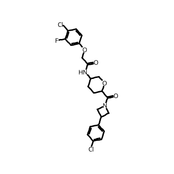 O=C(COc1ccc(Cl)c(F)c1)NC1CCC(C(=O)N2CC(c3ccc(Cl)cc3)C2)OC1